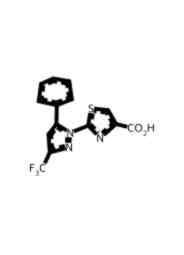 O=C(O)c1csc(-n2nc(C(F)(F)F)cc2-c2ccccc2)n1